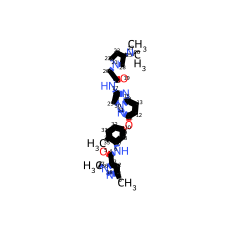 Cc1cc(C(=O)Nc2cc(Oc3ccc4nc(NC(=O)CN5CC[C@@H](N(C)C)C5)cn4n3)ccc2C)n(C)n1